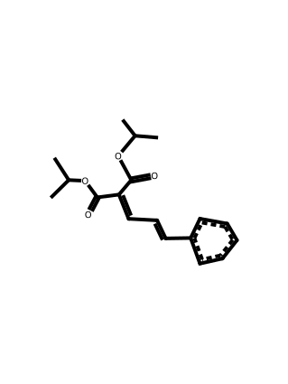 CC(C)OC(=O)C(=CC=Cc1ccccc1)C(=O)OC(C)C